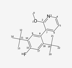 COc1ncccc1-c1cc(C(C)(C)C)c(F)cc1C(C)(C)C